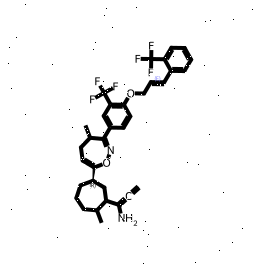 C=C=C(N)C1C[C@H](C2=CCC(C)C(c3ccc(OC/C=C/c4ccccc4C(F)(F)F)c(C(F)(F)F)c3)=NO2)CCCC1C